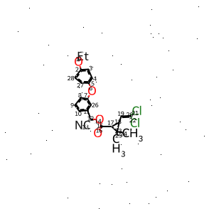 CCOc1ccc(Oc2cccc(C(C#N)OC(=O)C3C(C=C(Cl)Cl)C3(C)C)c2)cc1